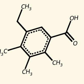 CCc1cc(C(=O)O)c(C)c(C)c1C